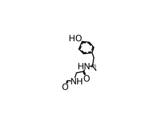 C[C@H](Cc1ccc(O)cc1)NC(=O)CNC=O